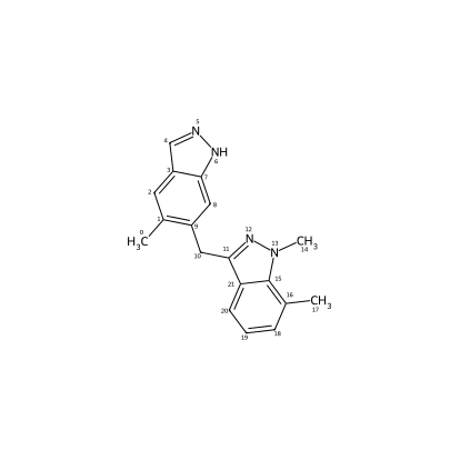 Cc1cc2cn[nH]c2cc1Cc1nn(C)c2c(C)cccc12